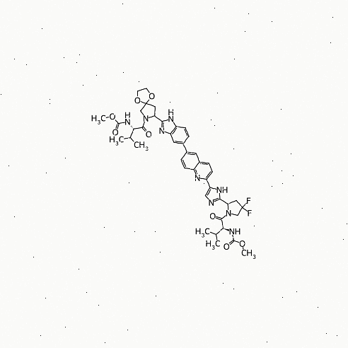 COC(=O)N[C@H](C(=O)N1CC(F)(F)CC1c1ncc(-c2ccc3cc(-c4ccc5[nH]c(C6CC7(CN6C(=O)[C@@H](NC(=O)OC)C(C)C)OCCO7)nc5c4)ccc3n2)[nH]1)C(C)C